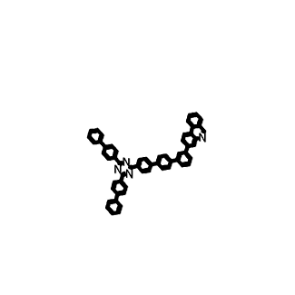 c1ccc(-c2ccc(-c3nc(-c4ccc(-c5ccccc5)cc4)nc(-c4ccc(-c5ccc(-c6cccc(-c7ccc8c(c7)ncc7ccccc78)c6)cc5)cc4)n3)cc2)cc1